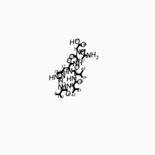 CC(C)[C@H](N)C(=O)N[C@H](C(=O)N[C@H](C(=O)N[C@@H](Cc1c[nH]cn1)C(=O)N[C@@H](CC(N)=O)C(=O)NCC(=O)O)C(C)C)C(C)C